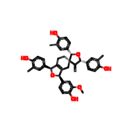 C=C1[C@@H](c2ccc(O)c(C)c2)O[C@@H](c2ccc(O)c(C)c2)[C@@]12CCC1=C(C2)[C@@H](c2ccc(O)c(OC)c2)O[C@H]1c1ccc(O)c(C)c1